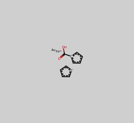 O=C(O)[c-]1cccc1.[Au].[Fe+2].c1cc[cH-]c1